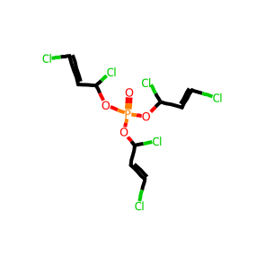 O=P(OC(Cl)C=CCl)(OC(Cl)C=CCl)OC(Cl)C=CCl